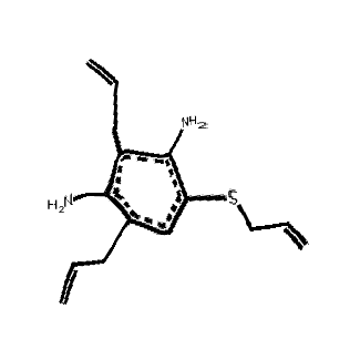 C=CCSc1cc(CC=C)c(N)c(CC=C)c1N